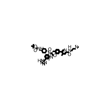 Cc1cc(C(=O)NCCCN(C)C)ncc1-c1ccc(C[C@@H](C(N)=O)N(c2ccc(-c3nnn[nH]3)cc2)C(=O)[C@H]2CC[C@H](CNC(=O)OC(C)(C)C)CC2)cc1